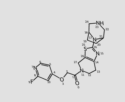 O=C(COc1ccnc(F)c1)N1CCc2nc(N3C4CCC3CNC4)sc2C1